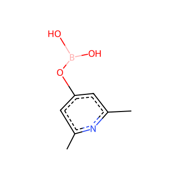 Cc1cc(OB(O)O)cc(C)n1